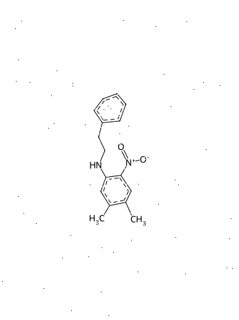 Cc1cc(NCCc2ccccc2)c([N+](=O)[O-])cc1C